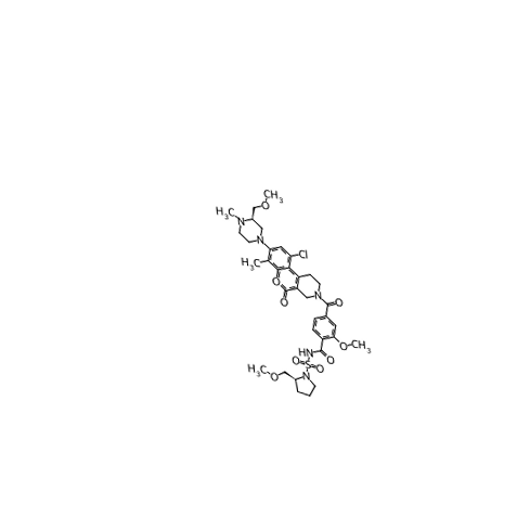 COC[C@H]1CN(c2cc(Cl)c3c4c(c(=O)oc3c2C)CN(C(=O)c2ccc(C(=O)NS(=O)(=O)N3CCC[C@H]3COC)c(OC)c2)CC4)CCN1C